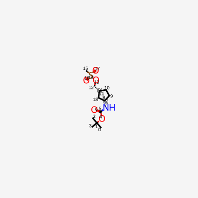 CC(C)(C)OC(=O)N[C@H]1CC[C@@H](COS(C)(=O)=O)C1